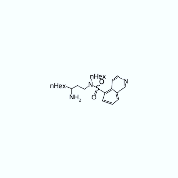 CCCCCCC(N)CCN(CCCCCC)S(=O)(=O)c1cccc2cnccc12